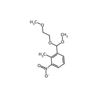 COCCOC(OC)c1cccc([N+](=O)[O-])c1C